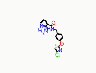 Nc1ncccc1C(=O)NCc1ccc(Oc2nc(Cl)cs2)cc1